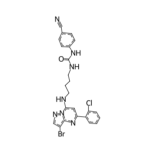 N#Cc1ccc(NC(=O)NCCCCNc2cc(-c3ccccc3Cl)nc3c(Br)cnn23)cc1